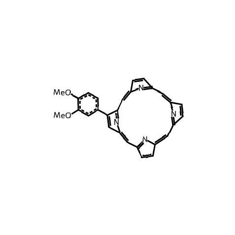 COc1ccc(C2=CC3=CC4=NC(=CC5=NC(=CC6=NC(=CC2=N3)C=C6)C=C5)C=C4)cc1OC